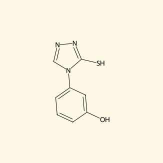 Oc1cccc(-n2cnnc2S)c1